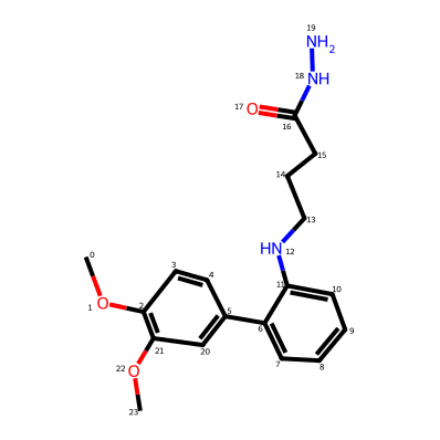 COc1ccc(-c2ccccc2NCCCC(=O)NN)cc1OC